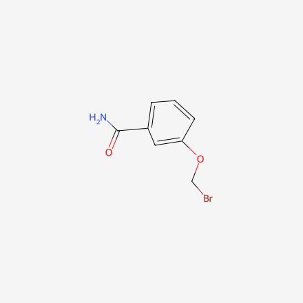 NC(=O)c1cccc(OCBr)c1